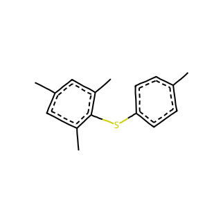 Cc1ccc(Sc2c(C)cc(C)cc2C)cc1